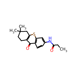 CCC(=O)Nc1ccc2c(=O)c3c(sc2c1)CC(C)(C)CC3